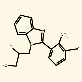 O=[N+]([O-])c1c(Cl)cccc1-c1nc2ccccc2n1CC(O)CO